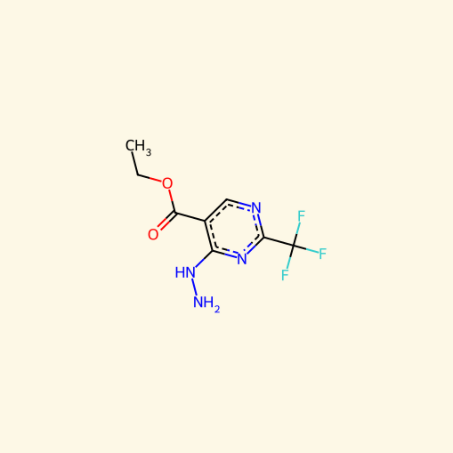 CCOC(=O)c1cnc(C(F)(F)F)nc1NN